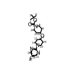 CC(C)(C)OC(=O)N1CCC(OC2CCN(c3ncc(F)cn3)CC2)CC1